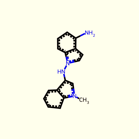 Cn1cc(Nn2ccc3c(N)cccc32)c2ccccc21